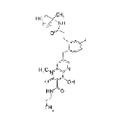 CCCNC(=O)c1c(O)c2ncc(Cc3ccc(F)cc3CCC(=O)NC(C)(C)CO)cc2n(C)c1=O